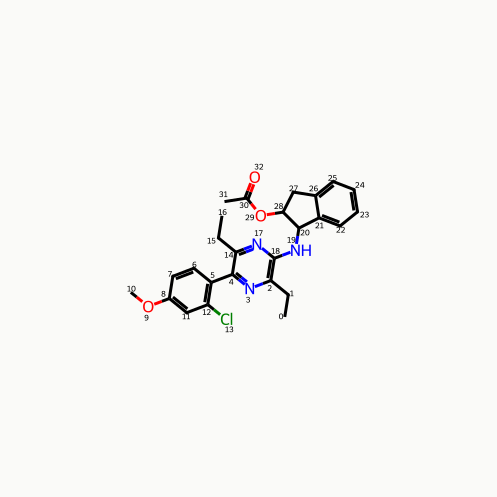 CCc1nc(-c2ccc(OC)cc2Cl)c(CC)nc1NC1c2ccccc2CC1OC(C)=O